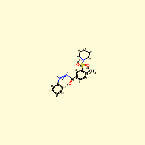 Cc1ccc(C(=O)N=[N+]=Nc2ccccc2)cc1S(=O)(=O)N1CCCCC1